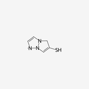 SC1=CN2[N]C=CN2C1